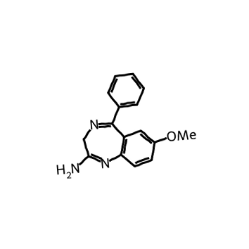 COc1ccc2c(c1)C(c1ccccc1)=NCC(N)=N2